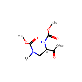 COC(=O)[C@@H](CN(C)C(=O)OC(C)(C)C)NC(=O)OC(C)(C)C